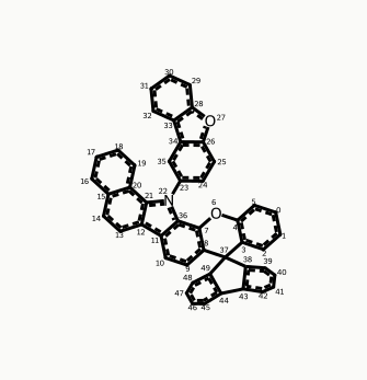 c1ccc2c(c1)Oc1c(ccc3c4ccc5ccccc5c4n(-c4ccc5oc6ccccc6c5c4)c13)C21c2ccccc2-c2ccccc21